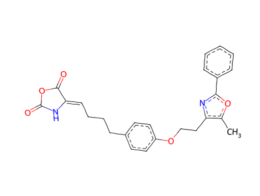 Cc1oc(-c2ccccc2)nc1CCOc1ccc(CCCC=C2NC(=O)OC2=O)cc1